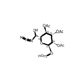 CCCCCCCCO[C@H]1O[C@H](C(O)N=[N+]=[N-])[C@@H](OC(C)=O)[C@H](OC(C)=O)[C@@H]1OC(C)=O